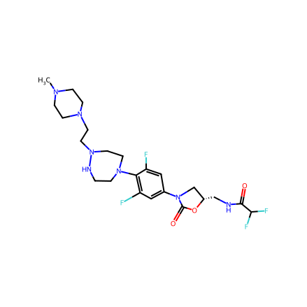 CN1CCN(CCN2CCN(c3c(F)cc(N4C[C@H](CNC(=O)C(F)F)OC4=O)cc3F)CCN2)CC1